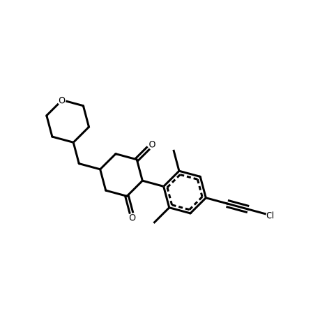 Cc1cc(C#CCl)cc(C)c1C1C(=O)CC(CC2CCOCC2)CC1=O